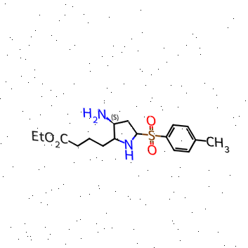 CCOC(=O)CCCC1NC(S(=O)(=O)c2ccc(C)cc2)C[C@@H]1N